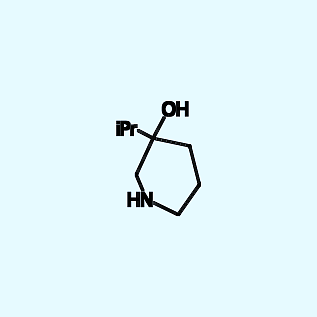 CC(C)C1(O)CCCNC1